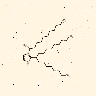 CCCCCCCCCCC(C)[n+]1cc[nH]c1C(CCCCCCCC)CCCCCCCCC